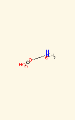 CNC(=O)CCCCCCCCCCOc1ccc(C(=O)O)cc1